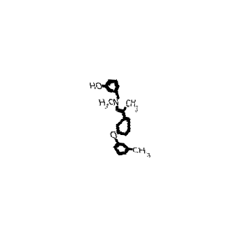 Cc1cccc(OC2CCCC(C(C)CN(C)Cc3cccc(O)c3)C2)c1